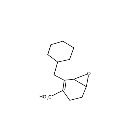 O=C(O)C1=C(CC2CCCCC2)C2OC2CC1